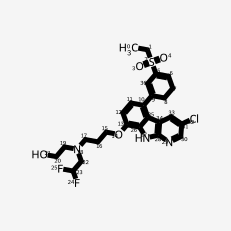 CCS(=O)(=O)C1=CCCC(c2ccc(OCCCN(CCO)CC(F)F)c3[nH]c4ncc(Cl)cc4c23)=C1